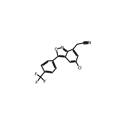 N#CCc1cc(Cl)cc2c(-c3ccc(C(F)(F)F)cc3)onc12